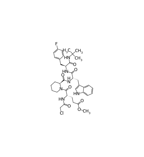 COC(=O)CC[C@H](NC(=O)CCl)C(=O)N1CCCC[C@H]1C(=O)N[C@@H](Cc1c[nH]c2ccccc12)C(=O)N[C@@H](Cc1ccc(F)cc1)C(=O)NC(C)(C)C